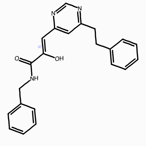 O=C(NCc1ccccc1)/C(O)=C/c1cc(CCc2ccccc2)ncn1